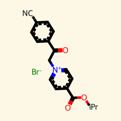 CC(C)OC(=O)c1cc[n+](CC(=O)c2ccc(C#N)cc2)cc1.[Br-]